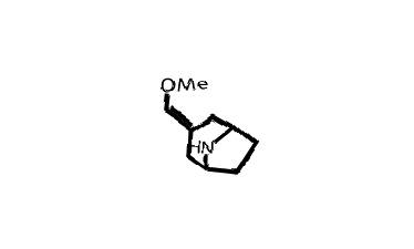 COC=C1CC2CCC(C1)N2